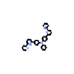 c1ccc(N(c2ccc(-c3cccc(-c4ccccn4)n3)cc2)c2ccc(-c3cccc(-c4ccccn4)n3)cc2)cc1